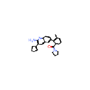 Cc1cccc(C(=O)N2CCCC2)c1-c1ccc2nc(N)c(C3=CCCC3)cc2c1